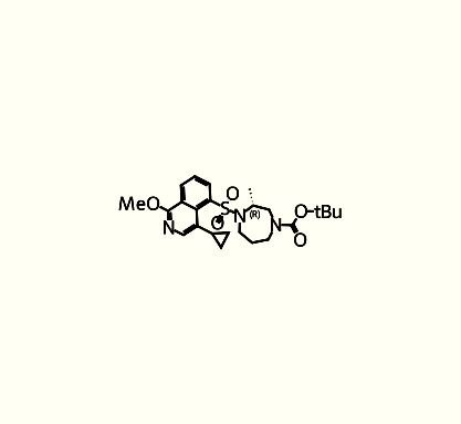 COc1ncc(C2CC2)c2c(S(=O)(=O)N3CCCN(C(=O)OC(C)(C)C)C[C@H]3C)cccc12